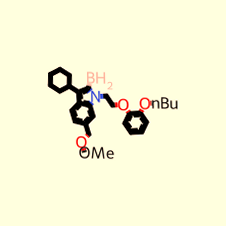 Bc1c(C2CCCCC2)c2ccc(COOC)cc2n1CCOc1ccccc1OCCCC